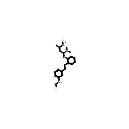 CC(CC(Oc1ccccc1CCc1cccc(OCF)c1)N(C)C)OC(F)(F)F